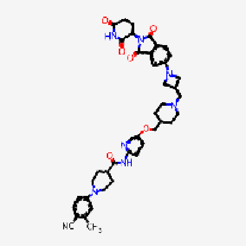 N#Cc1ccc(N2CCC(C(=O)Nc3ccc(OCC4CCN(CC5CN(c6ccc7c(c6)C(=O)N(C6CCC(=O)NC6=O)C7=O)C5)CC4)cn3)CC2)cc1C(F)(F)F